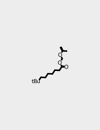 C=C(C)OCOC(=O)CCCCCCC(C)(C)C